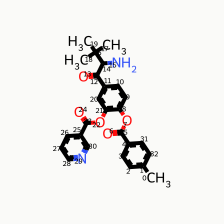 Cc1ccc(C(=O)Oc2ccc(C(=O)C(N)C(C)(C)C)cc2OC(=O)c2cccnc2)cc1